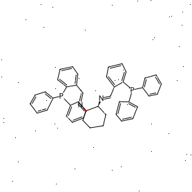 C(=NC1CCCC[C@@H]1N=Cc1ccccc1P(c1ccccc1)c1ccccc1)c1ccccc1P(c1ccccc1)c1ccccc1